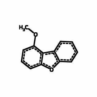 COc1cccc2oc3ccccc3c12